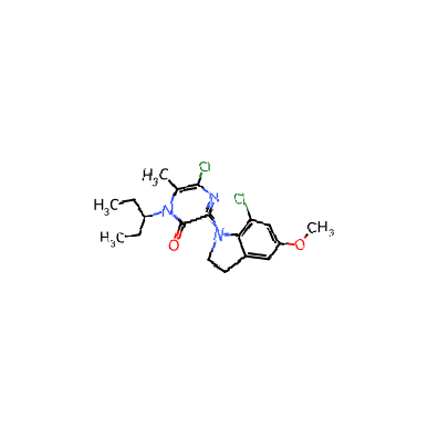 CCC(CC)n1c(C)c(Cl)nc(N2CCc3cc(OC)cc(Cl)c32)c1=O